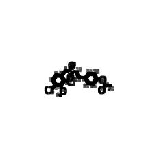 COc1c(Cl)ccc(CS(=O)(=O)C=Cc2ccc(OC(C)=O)cc2)c1Cl